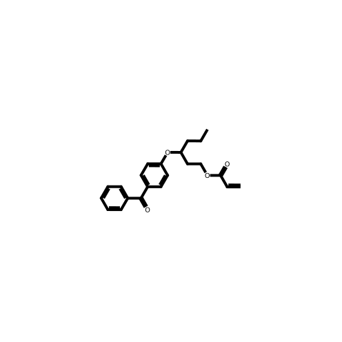 C=CC(=O)OCCC(CCC)Oc1ccc(C(=O)c2ccccc2)cc1